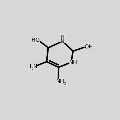 NC1=C(N)C(O)NC(O)N1